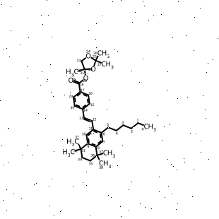 CCCCCCc1cc2c(cc1C=Cc1ccc(C(=O)OC3(C)COC(C)(C)O3)cc1)C(C)(C)CCC2(C)C